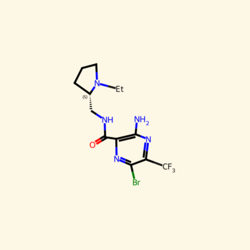 CCN1CCC[C@H]1CNC(=O)c1nc(Br)c(C(F)(F)F)nc1N